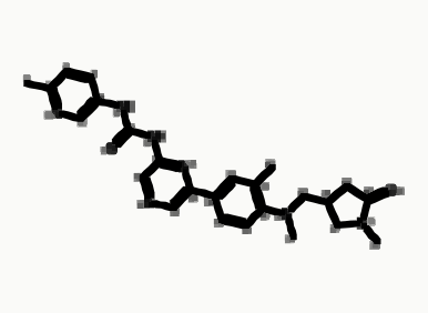 Cc1ccc(NC(=O)Nc2cncc(-c3ccc(N(C)CC4CC(=O)N(C)C4)c(C)c3)n2)cn1